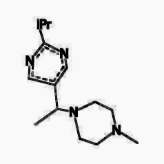 CC(C)c1ncc(C(C)N2CCN(C)CC2)cn1